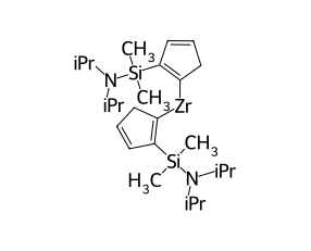 CC(C)N(C(C)C)[Si](C)(C)C1=[C]([Zr][C]2=C([Si](C)(C)N(C(C)C)C(C)C)C=CC2)CC=C1